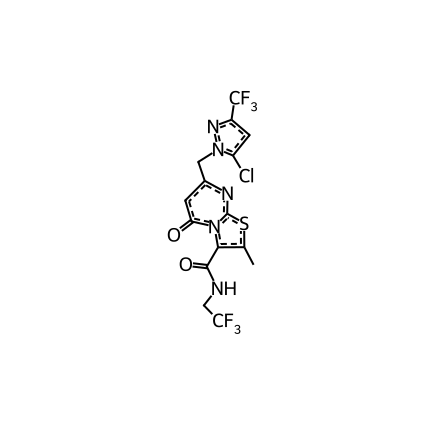 Cc1sc2nc(Cn3nc(C(F)(F)F)cc3Cl)cc(=O)n2c1C(=O)NCC(F)(F)F